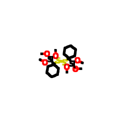 CO[Si](OC)(OC)C1(SSC2([Si](OC)(OC)OC)CCCCC2)CCCCC1